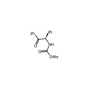 COC(=O)N[C@@H](C(=O)C(C)C)C(C)C